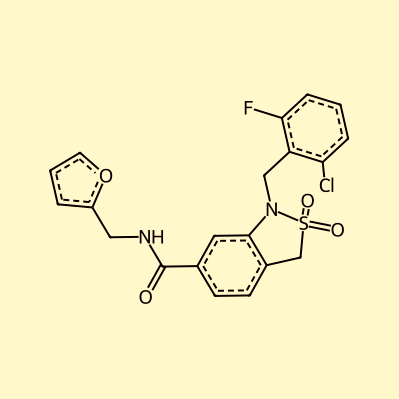 O=C(NCc1ccco1)c1ccc2c(c1)N(Cc1c(F)cccc1Cl)S(=O)(=O)C2